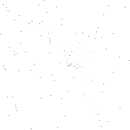 CCCOCc1cn(CCOC)nn1